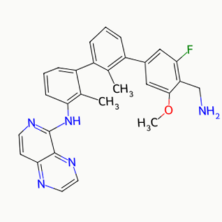 COc1cc(-c2cccc(-c3cccc(Nc4nccc5nccnc45)c3C)c2C)cc(F)c1CN